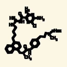 CCCCCCN(C)CCCc1ccc(NC(=O)[C@@H](C)Cc2ccc(CCCCNC(=N)NC(=O)c3nc(Cl)c(N)nc3N)c3ccccc23)cc1